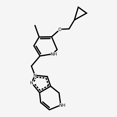 CC1=C(OCC2CC2)CNC(Cn2cc3c(n2)C=CNC3)=C1